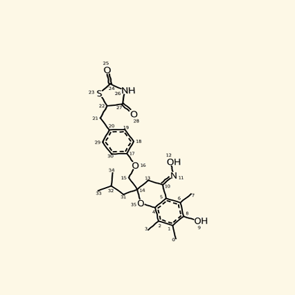 Cc1c(C)c2c(c(C)c1O)C(=NO)CC(COc1ccc(CC3SC(=O)NC3=O)cc1)(CC(C)C)O2